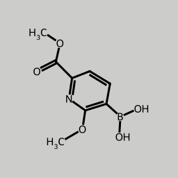 COC(=O)c1ccc(B(O)O)c(OC)n1